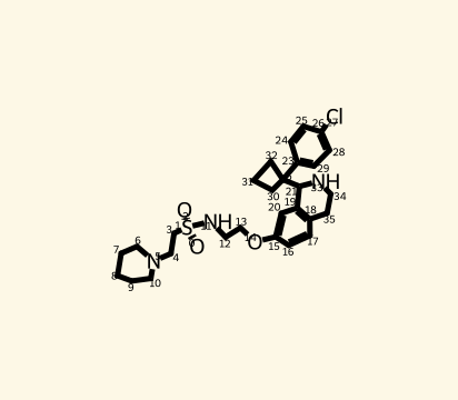 O=S(=O)(CCN1CCCCC1)NCCOc1ccc2c(c1)C(C1(c3ccc(Cl)cc3)CCC1)NCC2